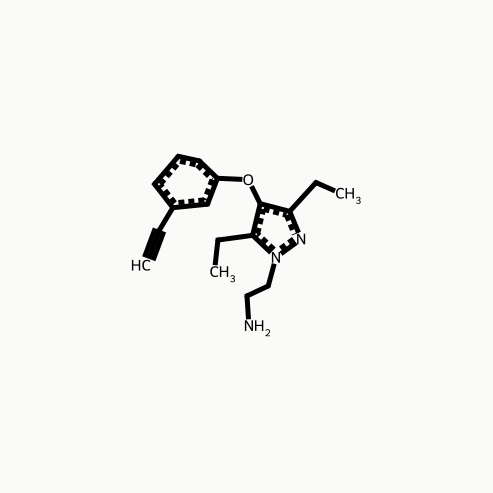 C#Cc1cccc(Oc2c(CC)nn(CCN)c2CC)c1